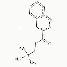 C[N+](C)(C)CCC(=O)c1ccc2ccccc2c1.[I-]